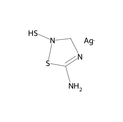 NC1=NCN(S)S1.[Ag]